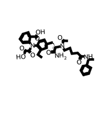 CCc1cc(C[C@@H](C(N)=O)N(CCCCC(=O)NC(C)c2ccccc2)C(C)=O)ccc1N(C(=O)C(=O)O)c1ccccc1C(=O)O